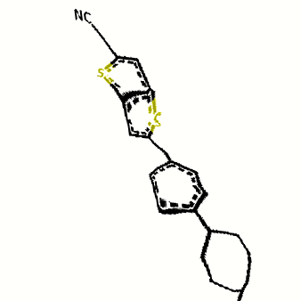 CCCCC1CCC(c2ccc(-c3cc4sc(C#N)cc4s3)cc2)CC1